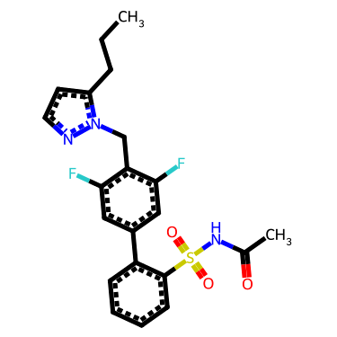 CCCc1ccnn1Cc1c(F)cc(-c2ccccc2S(=O)(=O)NC(C)=O)cc1F